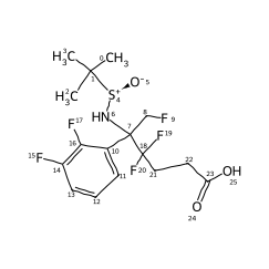 CC(C)(C)[S@@+]([O-])NC(CF)(c1cccc(F)c1F)C(F)(F)CCC(=O)O